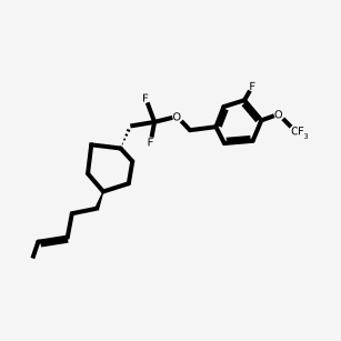 CC=CCC[C@H]1CC[C@H](CC(F)(F)OCc2ccc(OC(F)(F)F)c(F)c2)CC1